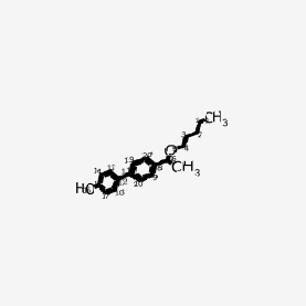 CCCCCOC(C)c1ccc(-c2ccc(O)cc2)cc1